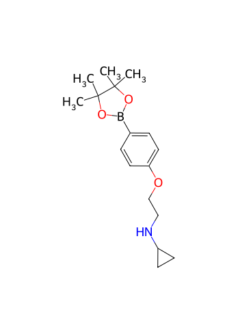 CC1(C)OB(c2ccc(OCCNC3CC3)cc2)OC1(C)C